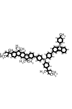 CCC(C)(CC)c1ccc(N(c2ccc(-c3ccc4c(c3)C(C)(C)c3cc5c(cc3-4)C(C)(C)c3cc(C(C)(CC)CC)ccc3-5)cc2)c2ccc(-c3ccc4c(c3)c3ccccc3n4-c3ccc(C)cc3)cc2)cc1